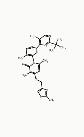 Cc1nc(COc2cc(C)n(-c3cc(-c4nc(C(C)(C)C)ncc4C)ncc3C)c(=O)c2C)cs1